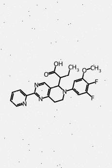 CCC(C(=O)O)C1c2cnc(-c3ccccn3)nc2CCN1c1cc(F)c(F)c(OC)c1